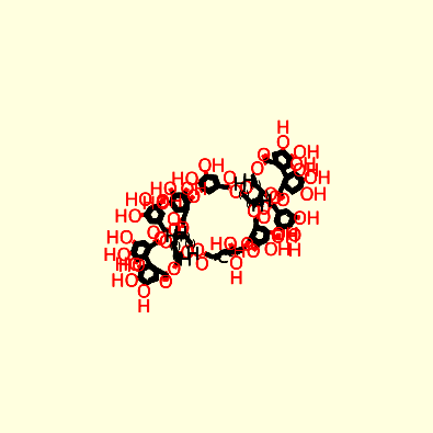 O=C1O[C@@H]2O[C@@H]3COC(=O)c4cc(O)c(O)c(O)c4-c4c(cc(O)c(O)c4O)C(=O)O[C@H]3[C@H](OC(=O)c3cc(O)c(O)c(O)c3)[C@H]2OC(=O)c2cc(O)c(O)c(O)c2Oc2cc(cc(O)c2O)C(=O)O[C@@H]2O[C@@H]3COC(=O)c4cc(O)c(O)c(O)c4-c4c(cc(O)c(O)c4O)C(=O)O[C@H]3[C@H](OC(=O)c3cc(O)c(O)c(O)c3)[C@H]2OC(=O)c2cc(O)c(O)c(O)c2Oc2c(O)cc1cc2O